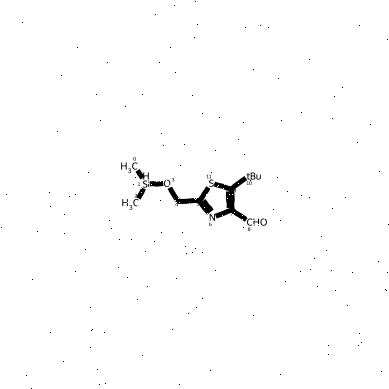 C[SiH](C)OCc1nc(C=O)c(C(C)(C)C)s1